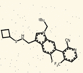 CC(C)(C)Cn1cc(CNSC2CCC2)c2cc(F)c(-c3c(C(F)(F)F)ccnc3C#N)cc21